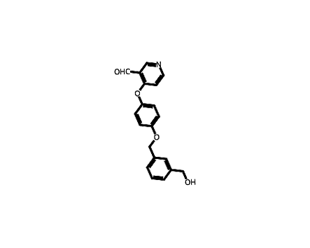 O=Cc1cnccc1Oc1ccc(OCc2cccc(CO)c2)cc1